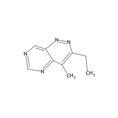 CCc1nnc2cncnc2c1C